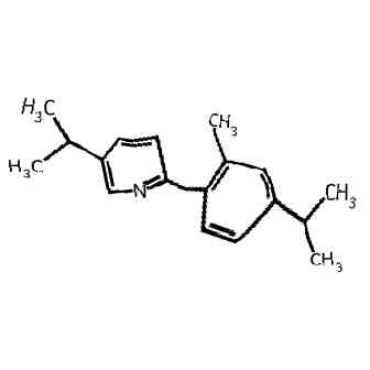 Cc1cc(C(C)C)ccc1-c1ccc(C(C)C)cn1